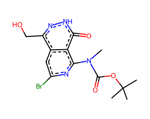 CN(C(=O)OC(C)(C)C)c1nc(Br)cc2c(CO)n[nH]c(=O)c12